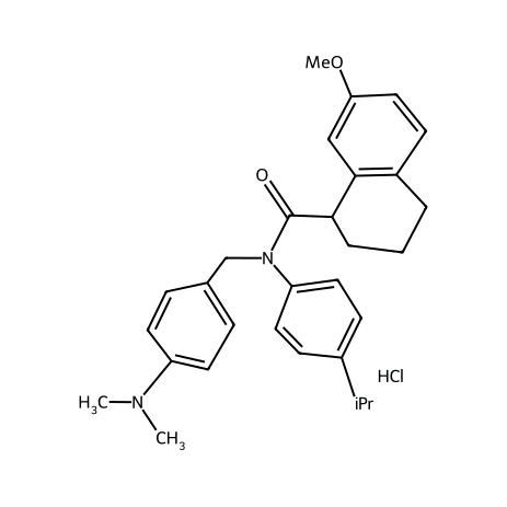 COc1ccc2c(c1)C(C(=O)N(Cc1ccc(N(C)C)cc1)c1ccc(C(C)C)cc1)CCC2.Cl